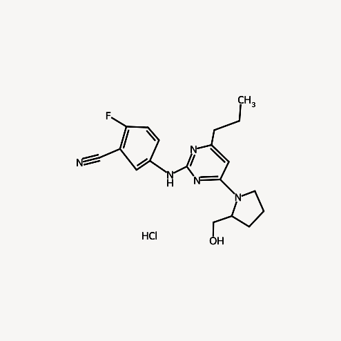 CCCc1cc(N2CCCC2CO)nc(Nc2ccc(F)c(C#N)c2)n1.Cl